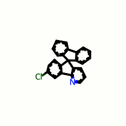 Clc1ccc2c(c1)-c1ncccc1C21c2ccccc2-c2ccccc21